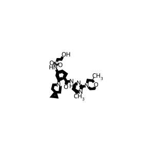 Cc1cc(NC(=O)c2ccc(NS(=O)(=O)CCO)cc2N2CCC3(CC2)CC3)nc(N2CCO[C@@H](C)C2)n1